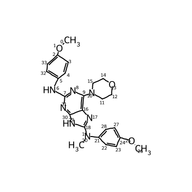 COc1ccc(Nc2nc(N3CCOCC3)c3nc(N(C)c4ccc(OC)cc4)[nH]c3n2)cc1